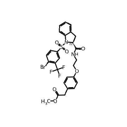 COC(=O)Cc1ccc(OCCNC(=O)[C@@H]2Cc3ccccc3N2S(=O)(=O)c2ccc(Br)c(C(F)(F)F)c2)cc1